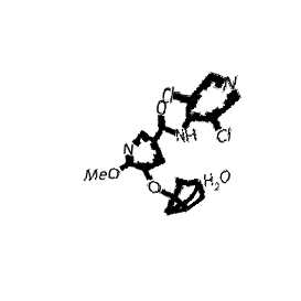 COc1ncc(C(=O)Nc2c(Cl)cncc2Cl)cc1OC12CC3CC1C2C3.O